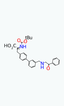 CC(C)(C)OC(=O)N[C@H](Cc1ccc(-c2cccc(CNCC(=O)c3ccccc3)c2)cc1)C(=O)O